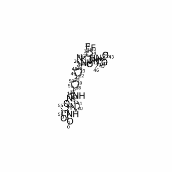 COC(=O)N[C@H](C(=O)N1CCCC1c1ncc(-c2ccc(-c3ccc(-c4cnc(C5CC(F)(F)CC5C(=O)N(NC(=O)OC)C(C)C)[nH]4)cc3)cc2)[nH]1)C(C)C